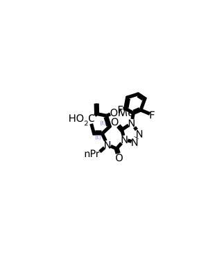 C=C(C(=O)O)/C(=C\C(=C/C)N(CCC)C(=O)n1nnn(-c2c(F)cccc2F)c1=O)OC